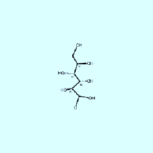 [O]C(O)[C@@H](O)[C@@H](O)[C@H](O)[C@H](O)CO